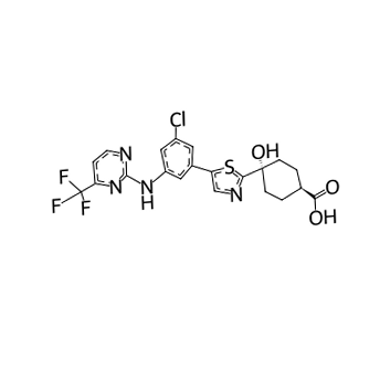 O=C(O)[C@H]1CC[C@@](O)(c2ncc(-c3cc(Cl)cc(Nc4nccc(C(F)(F)F)n4)c3)s2)CC1